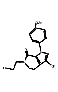 COc1ccc(-n2nc(C(F)(F)F)c3c2C(=O)N(CCN)CC3)cc1